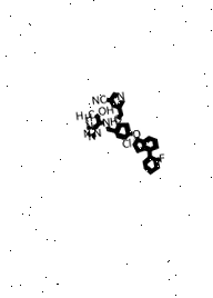 CC(O)C(NCc1cc(Cl)c(O[C@H]2CCc3c(-c4ccccc4F)cccc32)cc1OCc1cncc(C#N)c1)c1nnn[nH]1